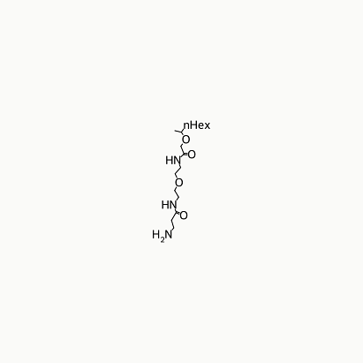 CCCCCCC(C)OCC(=O)NCCOCCNC(=O)CCN